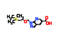 CS(C)(C)CCOCn1ncc2cc(C(=O)O)cnc21